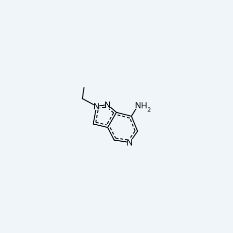 CCn1cc2cncc(N)c2n1